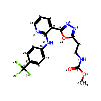 COC(=O)NCCc1nnc(-c2cccnc2Nc2ccc(C(F)(F)F)cc2)o1